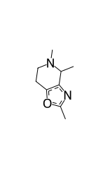 Cc1nc2c(o1)CCN(C)C2C